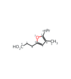 CCCc1oc(CCC(=O)O)cc1C